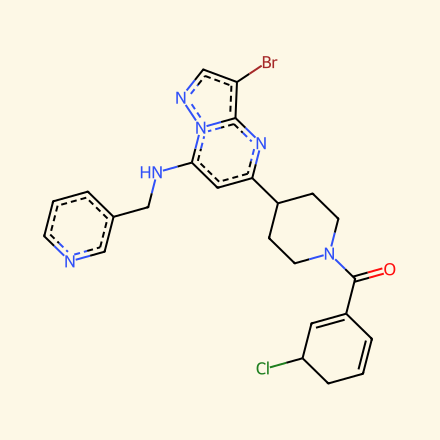 O=C(C1=CC(Cl)CC=C1)N1CCC(c2cc(NCc3cccnc3)n3ncc(Br)c3n2)CC1